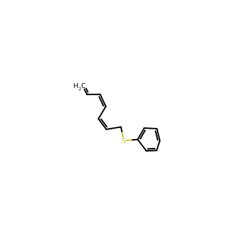 C=C/C=C\C=C/CSc1ccccc1